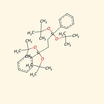 CC(C)(C)O[Si](CC[Si](OC(C)(C)C)(OC(C)(C)C)c1ccccc1)(OC(C)(C)C)c1ccccc1